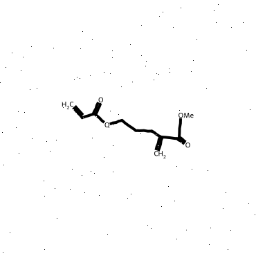 C=CC(=O)OCCCC(=C)C(=O)OC